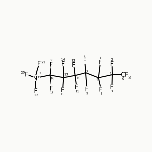 FC(F)(F)C(F)(F)C(F)(F)C(F)(F)C(F)(F)C(F)(F)C(F)(F)[N+](F)(F)F